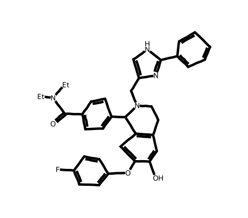 CCN(CC)C(=O)c1ccc(C2c3cc(Oc4ccc(F)cc4)c(O)cc3CCN2Cc2c[nH]c(-c3ccccc3)n2)cc1